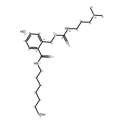 CCCCCCCCCCCCCCCCNC(=O)c1ccccc1COC(=O)NCCCN(C)C.Cl